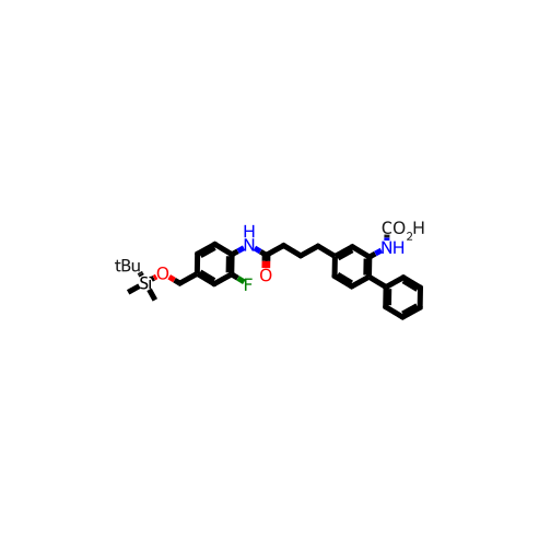 CC(C)(C)[Si](C)(C)OCc1ccc(NC(=O)CCCc2ccc(-c3ccccc3)c(NC(=O)O)c2)c(F)c1